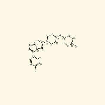 Cc1ccc(-c2cnc3sc(N4CCN(CC5CCN(C)CC5)CC4)nn23)cc1